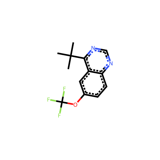 CC(C)(C)c1ncnc2ccc(OC(F)(F)F)cc12